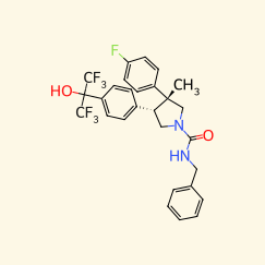 C[C@@]1(c2ccc(F)cc2)CN(C(=O)NCc2ccccc2)C[C@@H]1c1ccc(C(O)(C(F)(F)F)C(F)(F)F)cc1